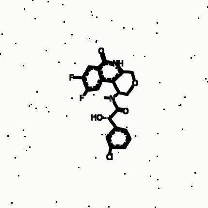 CN(C(=O)[C@@H](O)c1cccc(Cl)c1)[C@@H]1COCc2[nH]c(=O)c3cc(F)c(F)cc3c21